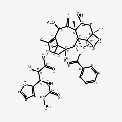 CC(=O)O[C@H]1C(=O)[C@@]2(C)[C@H]([C@H](OC(=O)c3ccccc3)[C@]3(O)C[C@H](OC(=O)[C@H](O)[C@@H](NC(=O)SC(C)(C)C)c4ccco4)C(C)=C1C3(C)C)[C@]1(OC(C)=O)OO[C@@H]1C[C@@H]2O